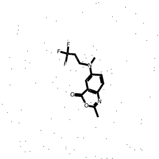 Cc1nc2ccc(N(C)CCC(F)(F)F)cc2c(=O)o1